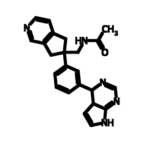 CC(=O)NCC1(c2cccc(C3N=CN=C4NC=CC43)c2)Cc2ccncc2C1